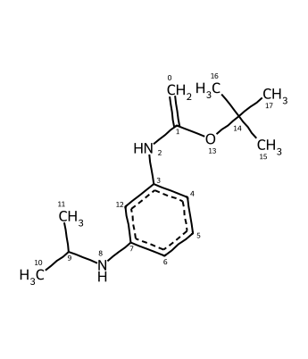 C=C(Nc1cccc(NC(C)C)c1)OC(C)(C)C